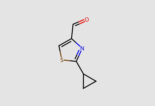 O=Cc1csc(C2CC2)n1